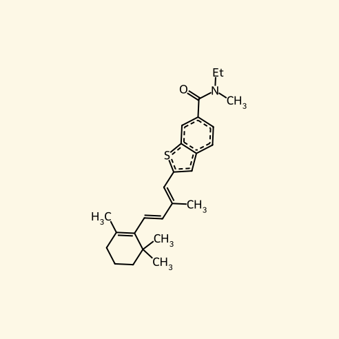 CCN(C)C(=O)c1ccc2cc(/C=C(\C)C=CC3=C(C)CCCC3(C)C)sc2c1